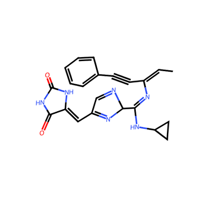 C/C=C(C#Cc1ccccc1)\N=C(\NC1CC1)C1N=CC(/C=C2\NC(=O)NC2=O)=N1